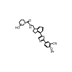 CC(C)Oc1ccc(-c2ncc(-c3cccc4c3CCC4CNC(=O)N3CCC[C@H](O)C3)s2)cc1C#N